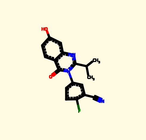 CC(C)c1nc2cc(O)ccc2c(=O)n1-c1ccc(F)c(C#N)c1